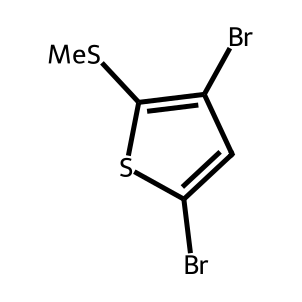 CSc1sc(Br)cc1Br